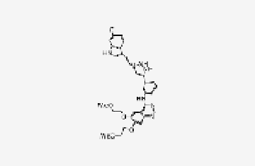 COCCOc1cc2ncnc(Nc3cccc(C4=CN(CCc5c[nH]c6cc(Cl)ccc56)NN4)c3)c2cc1OCCOC